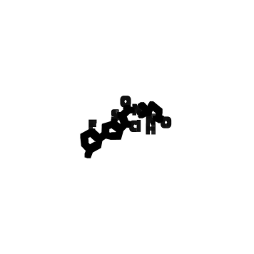 Cc1ccc(F)c(-c2ccc3c(Cl)c(C(=O)N4CC5(CCC(=O)N5)C4)sc3c2)c1